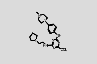 CN1CCN(c2ccc(Nc3nc(NCCN4CCCC4)nc(C(Cl)(Cl)Cl)n3)cc2)CC1